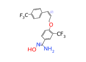 N/C(=N\O)c1ccc(OC/C=C\c2ccc(C(F)(F)F)cc2)c(C(F)(F)F)c1